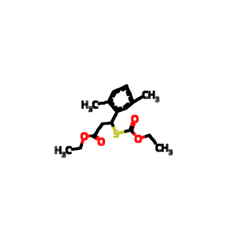 CCOC(=O)CC(SC(=O)OCC)c1cc(C)ccc1C